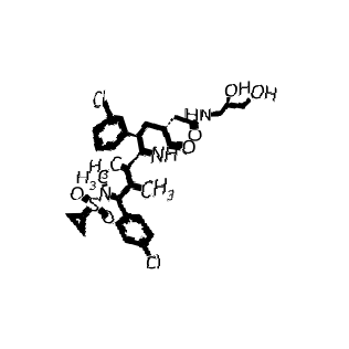 CC(C(C)[C@@H]1NC(=O)[C@@H](CC(=O)NC[C@@H](O)CO)C[C@@H]1c1cccc(Cl)c1)C(c1ccc(Cl)cc1)N(C)S(=O)(=O)C1CC1